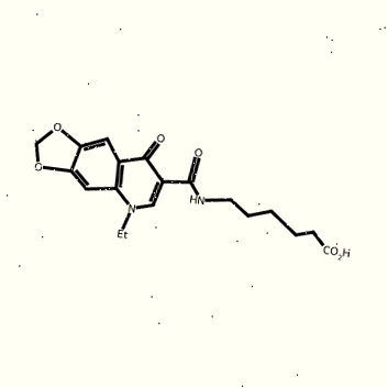 CCn1cc(C(=O)NCCCCCC(=O)O)c(=O)c2cc3c(cc21)OCO3